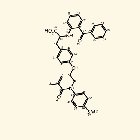 C=C(C)C(=O)N(CCOc1ccc(C[C@H](Nc2ccccc2C(=O)c2ccccc2)C(=O)O)cc1)c1ccc(SC)cc1